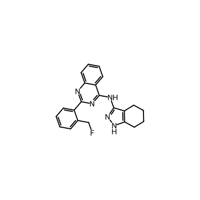 FCc1ccccc1-c1nc(Nc2n[nH]c3c2CCCC3)c2ccccc2n1